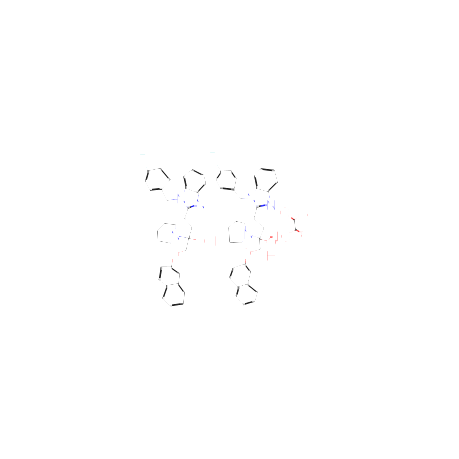 O=C(O)C(=O)O.OC(CCc1nc2ccccc2n1Cc1ccc(F)cc1)(COc1ccc2ccccc2c1)N1CCCCC1.OC(CCc1nc2ccccc2n1Cc1ccc(F)cc1)(COc1ccc2ccccc2c1)N1CCCCC1